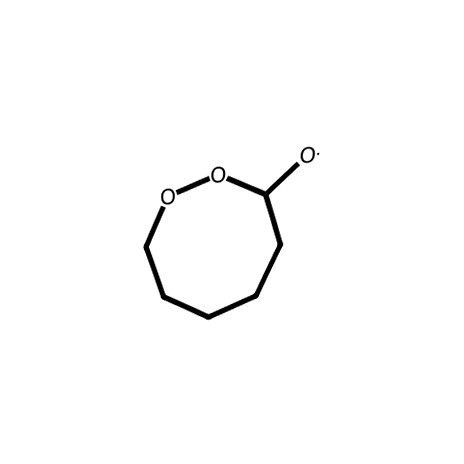 [O]C1CCCCCOO1